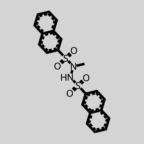 CN(NS(=O)(=O)c1ccc2ccccc2c1)S(=O)(=O)c1ccc2ccccc2c1